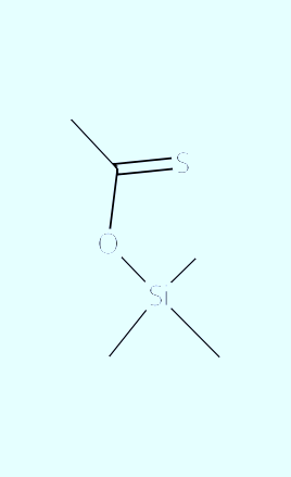 CC(=S)O[Si](C)(C)C